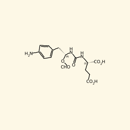 Nc1ccc(C[C@H](NC(=O)N[C@@H](CCC(=O)O)C(=O)O)OC=O)cc1